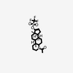 CC(=O)N1CCC[C@@]2(C)C1CC[C@@H]1[C@@H]2CC[C@]2(C)C(OS(=O)(=O)C(F)(F)F)=CC[C@@H]12